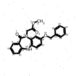 COC(=O)CN1C(=O)c2ccccc2Nc2ccc(OCc3ccccc3)cc21